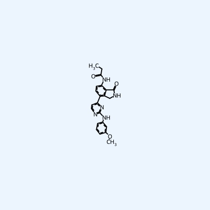 CCC(=O)Nc1ccc(-c2ccnc(Nc3cccc(OC)c3)n2)c2c1C(=O)NC2